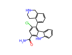 NC(=O)c1cc(Cl)c(-c2cccc3c2CCNC3)c2c1[nH]c1ccccc12